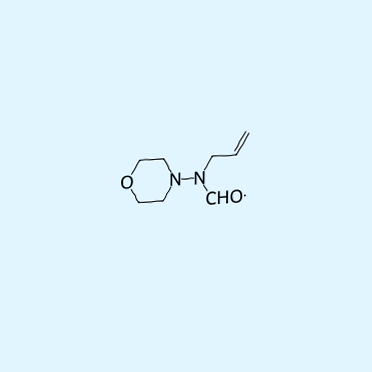 C=CCN([C]=O)N1CCOCC1